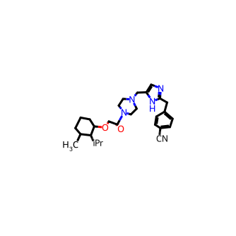 CC(C)C1C(C)CCCC1OCC(=O)N1CCN(Cc2cnc(Cc3ccc(C#N)cc3)[nH]2)CC1